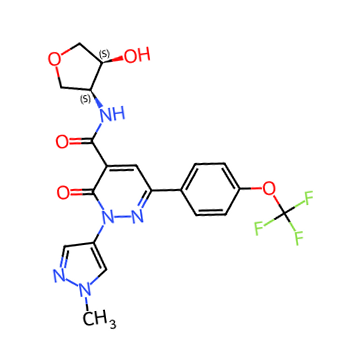 Cn1cc(-n2nc(-c3ccc(OC(F)(F)F)cc3)cc(C(=O)N[C@H]3COC[C@H]3O)c2=O)cn1